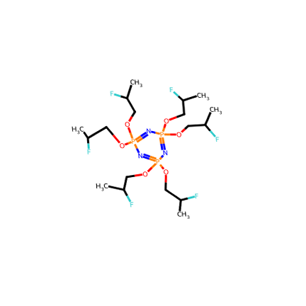 CC(F)COP1(OCC(C)F)=NP(OCC(C)F)(OCC(C)F)=NP(OCC(C)F)(OCC(C)F)=N1